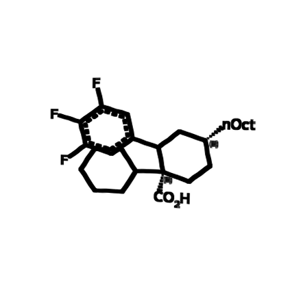 CCCCCCCC[C@@H]1CC[C@@](C(=O)O)(C2CCCCC2)C(c2cc(F)c(F)c(F)c2)C1